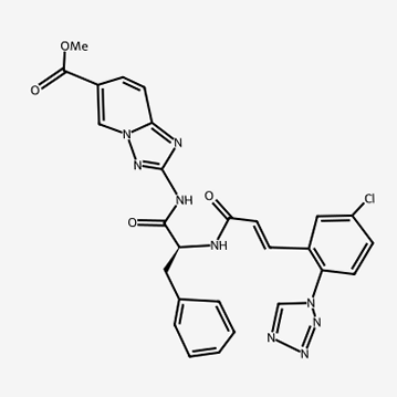 COC(=O)c1ccc2nc(NC(=O)[C@H](Cc3ccccc3)NC(=O)/C=C/c3cc(Cl)ccc3-n3cnnn3)nn2c1